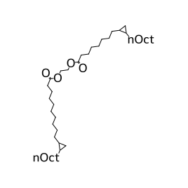 CCCCCCCCC1CC1CCCCCCCCCC(=O)OCCOC(=O)CCCCCCCC1CC1CCCCCCCC